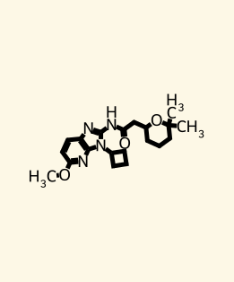 COc1ccc2nc(NC(=O)CC3CCCC(C)(C)O3)n(C3CCC3)c2n1